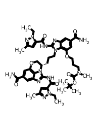 CCn1nc(C)cc1C(=O)Nc1nc2cc(C(N)=O)cc(OCCCN(C)C(=O)OC(C)(C)C)c2n1CCC[C@H]1COc2cc(C(N)=O)cc3nc(NC(=O)c4cc(C)nn4CC)n1c23